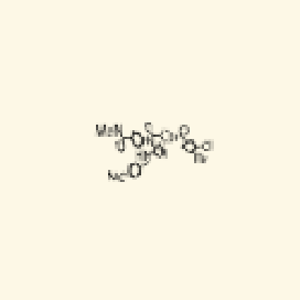 CNC(=O)c1ccc(-n2c(=O)c3c(n4ncc(NCc5ccc(C#N)cc5)c24)CN(C(=O)c2ccc(Br)c(Cl)c2)CC3)cc1